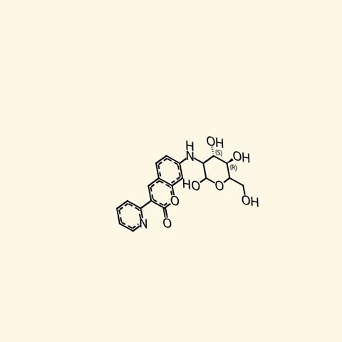 O=c1oc2cc(NC3C(O)OC(CO)[C@H](O)[C@H]3O)ccc2cc1-c1ccccn1